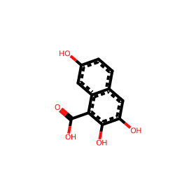 O=C(O)c1c(O)c(O)cc2ccc(O)cc12